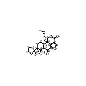 COC[C@H]1OC(=O)c2coc3c2C1(C)C1=C(C3=O)[C@@H]2CCC3(OCCO3)C2(C)CC1